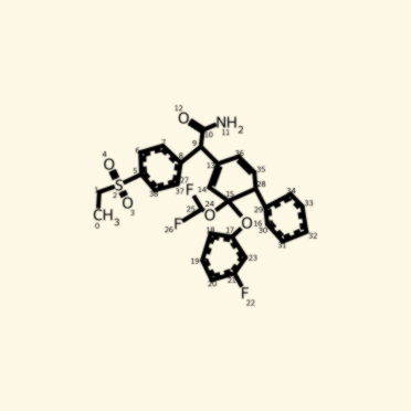 CCS(=O)(=O)c1ccc(C(C(N)=O)C2=CC(Oc3cccc(F)c3)(OC(F)F)C(c3ccccc3)C=C2)cc1